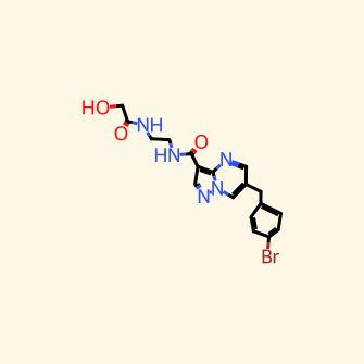 O=C(CO)NCCNC(=O)c1cnn2cc(Cc3ccc(Br)cc3)cnc12